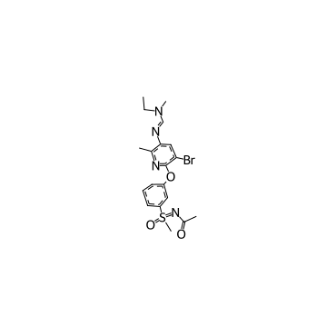 CCN(C)C=Nc1cc(Br)c(Oc2cccc(S(C)(=O)=NC(C)=O)c2)nc1C